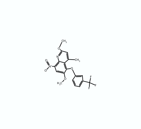 COc1cc(C)c2c(Oc3cccc(C(F)(F)F)c3)c(OC)cc([N+](=O)[O-])c2n1